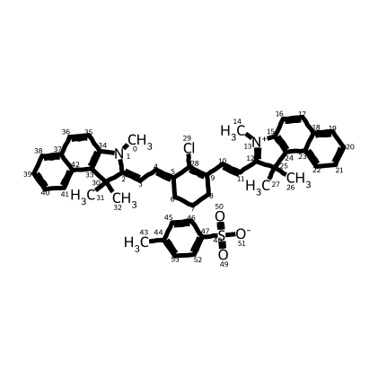 CN1C(=CC=C2CCCC(C=CC3=[N+](C)c4ccc5ccccc5c4C3(C)C)=C2Cl)C(C)(C)c2c1ccc1ccccc21.Cc1ccc(S(=O)(=O)[O-])cc1